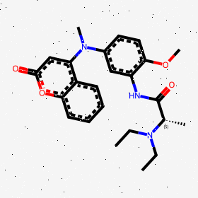 CCN(CC)[C@@H](C)C(=O)Nc1cc(N(C)c2cc(=O)oc3ccccc23)ccc1OC